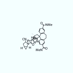 CNC(=O)c1ccc2c(c1)CCc1cc(C(=O)NC)ccc1C2(C[C@@H](C)NCC(=O)N1C(C#N)C[C@@H]2C[C@@H]21)c1nnc(C(C)C)[nH]1